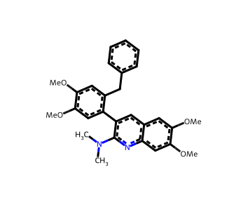 COc1cc(Cc2ccccc2)c(-c2cc3cc(OC)c(OC)cc3nc2N(C)C)cc1OC